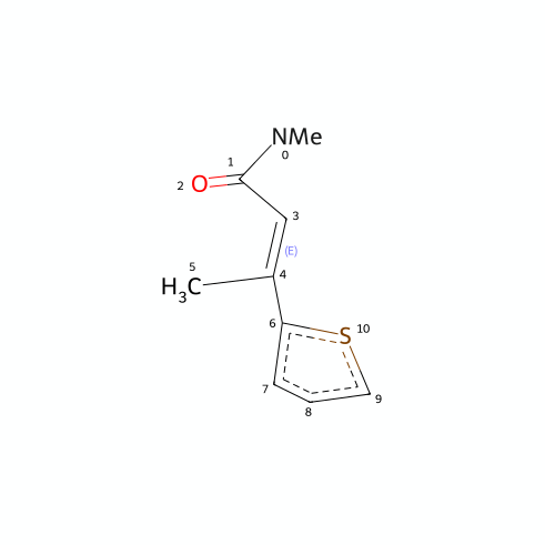 CNC(=O)/C=C(\C)c1cccs1